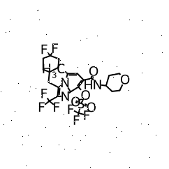 Cc1cc(C(=O)NC2CCOCC2)c(OS(=O)(=O)C(F)(F)F)c2nc(C(F)(F)F)c(CC3CCC(F)(F)CC3)n12